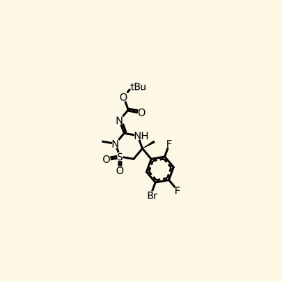 CN1C(=NC(=O)OC(C)(C)C)N[C@](C)(c2cc(Br)c(F)cc2F)CS1(=O)=O